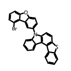 Brc1cccc2oc3ccc(-n4c5ccccc5c5c6c(ccc54)sc4ccccc46)cc3c12